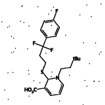 CC(C)(C)CCN1C=CC=C(C(=O)O)C1SCCC(F)(F)c1ccc(F)cc1